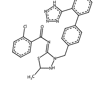 CC1NN(Cc2ccc(-c3ccccc3-c3nnn[nH]3)cc2)C(=NC(=O)c2ccccc2Cl)S1